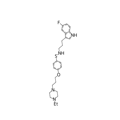 CCN1CCN(CCCOc2ccc(SNCCCc3c[nH]c4ccc(F)cc34)cc2)CC1